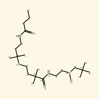 CCCC(=O)NCCC(C)(C)OCCC(C)(C)C(=O)NCC[S+]([O-])CC(C)(C)C